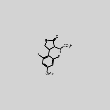 COc1cc(F)c(C2CNC(=O)C2NC(=O)O)c(F)c1